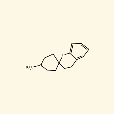 O=C(O)N1CCC2(CCc3ccccc3O2)CC1